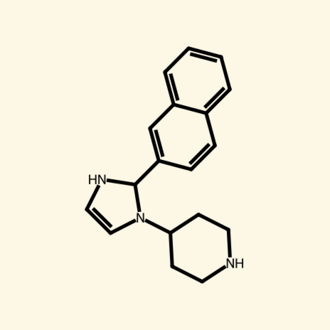 C1=CN(C2CCNCC2)C(c2ccc3ccccc3c2)N1